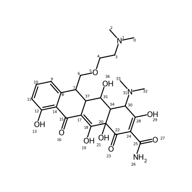 CN(C)CCOCC1c2cccc(O)c2C(=O)C2=C(O)C3(O)C(=O)C(C(N)=O)=C(O)C(N(C)C)C3C(O)C21